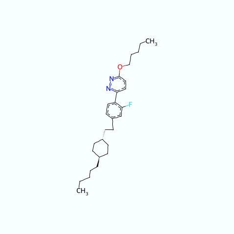 CCCCCOc1ccc(-c2ccc(CC[C@H]3CC[C@H](CCCCC)CC3)cc2F)nn1